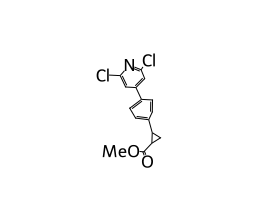 COC(=O)C1CC1c1ccc(-c2cc(Cl)nc(Cl)c2)cc1